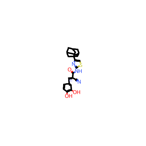 N#C/C(=C\c1ccc(O)c(O)c1)C(=O)Nc1nc(C23CC4CC(CC(C4)C2)C3)cs1